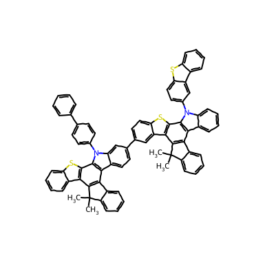 CC1(C)c2ccccc2-c2c1c1c3cc(-c4ccc5c6c7c(c8c9ccccc9sc8c6n(-c6ccc(-c8ccccc8)cc6)c5c4)C(C)(C)c4ccccc4-7)ccc3sc1c1c2c2ccccc2n1-c1ccc2sc3ccccc3c2c1